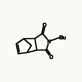 CCC(C)N1C(=O)C2C3C=CC(C3)C2C1=O